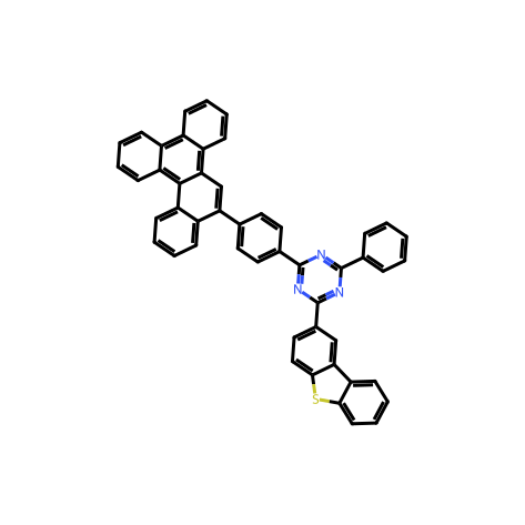 c1ccc(-c2nc(-c3ccc(-c4cc5c6ccccc6c6ccccc6c5c5ccccc45)cc3)nc(-c3ccc4sc5ccccc5c4c3)n2)cc1